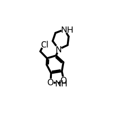 ClCc1cc2c(cc1N1CCNCC1)ONO2